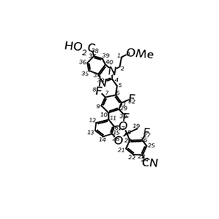 COCCn1c(Cc2c(F)cc(-c3cccc4c3OC(C)(c3ccc(C#N)cc3F)O4)c(F)c2F)nc2ccc(C(=O)O)cc21